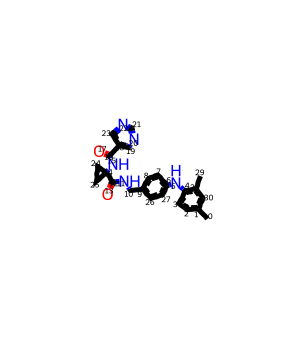 Cc1ccc(Nc2ccc(CNC(=O)C3(NC(=O)c4cncnc4)CC3)cc2)c(C)c1